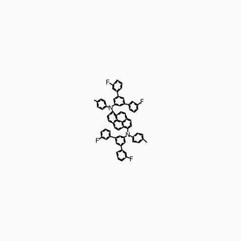 Cc1ccc(N(c2cc(-c3cccc(F)c3)cc(-c3cccc(F)c3)c2)c2ccc3ccc4c(N(c5ccc(C)cc5)c5cc(-c6cccc(F)c6)cc(-c6cccc(F)c6)c5)ccc5ccc2c3c54)cc1